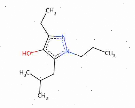 CCCn1nc(CC)c(O)c1CC(C)C